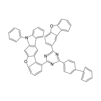 c1ccc(-c2ccc(-c3nc(-c4ccc5oc6ccccc6c5c4)nc(-c4cccc5oc6cc7c(cc6c45)c4ccccc4n7-c4ccccc4)n3)cc2)cc1